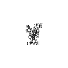 CC(=O)OC1CCN(S(=O)(=O)c2cnc3n2[C@](C)(Cc2ccc(Br)cc2)C(=O)N3c2cc(Cl)cc(Cl)c2)C1